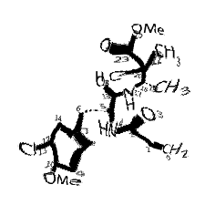 C=CC(=O)N[C@H](Cc1ccc(OC)c(Cl)c1)C(=O)N[C@@H](C)C(C)(C)C(=O)OC